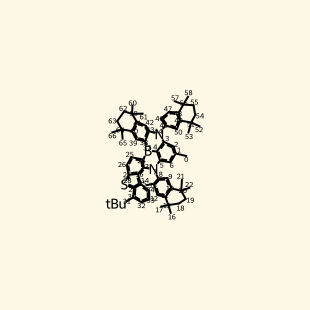 Cc1cc2c3c(c1)N(c1cc4c(cc1C)C(C)(C)CCC4(C)C)c1c(ccc4sc5c(C(C)(C)C)cccc5c14)B3c1cc3c(cc1N2c1ccc2c(c1)C(C)(C)CCC2(C)C)C(C)(C)CCC3(C)C